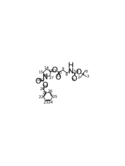 CC(C)(C)OC(=O)NCCC(=O)O[C@@H]1CCN(C(=O)OCc2ccccc2)C1